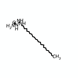 CCCCCCCCCCCCCCCCCCCCCCCCNC(=N)NC(N)=O